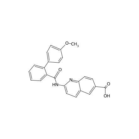 COc1ccc(-c2ccccc2C(=O)Nc2ccc3cc(C(=O)O)ccc3n2)cc1